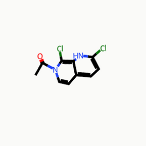 CC(=O)N1C=CC2=CC=C(Cl)NC2=C1Cl